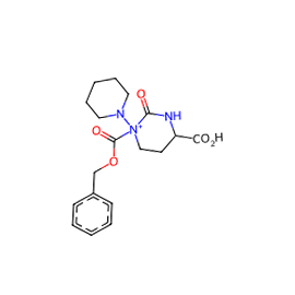 O=C(O)C1CC[N+](C(=O)OCc2ccccc2)(N2CCCCC2)C(=O)N1